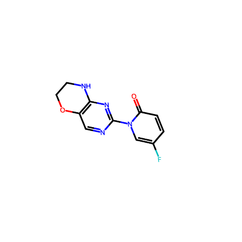 O=c1ccc(F)cn1-c1ncc2c(n1)NCCO2